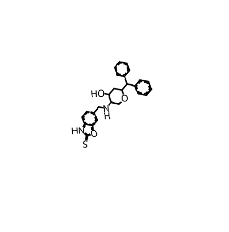 OC1CC(C(c2ccccc2)c2ccccc2)OCC1NCc1ccc2[nH]c(=S)oc2c1